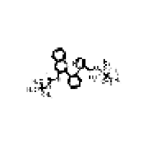 CC(C)(C)OC(=O)Nc1cc2ccccc2nc1-c1ccccc1-n1nccc1CO[Si](C)(C)C(C)(C)C